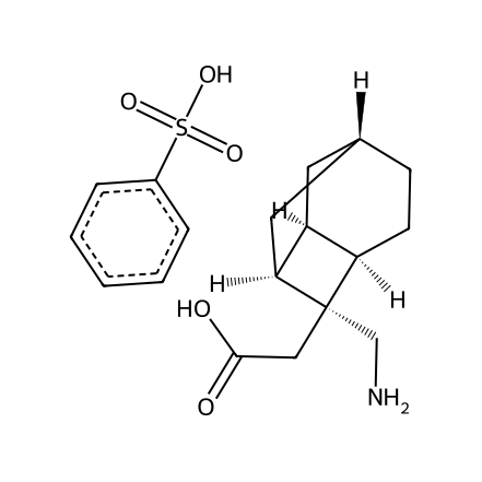 NC[C@@]1(CC(=O)O)[C@@H]2CC[C@H]3C[C@@H]2[C@@H]1C3.O=S(=O)(O)c1ccccc1